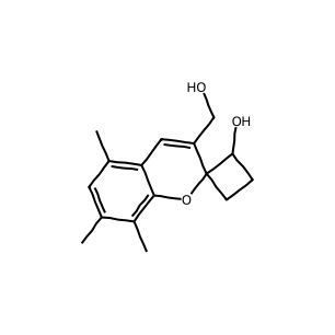 Cc1cc(C)c2c(c1C)OC1(CCC1O)C(CO)=C2